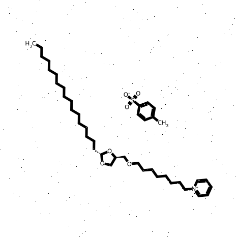 CCCCCCCCCCCCCCCCC[C@H]1OC[C@H](COCCCCCCCC[n+]2ccccc2)O1.Cc1ccc(S(=O)(=O)[O-])cc1